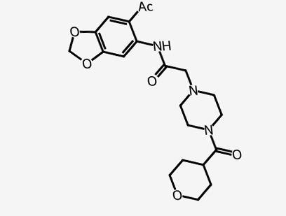 CC(=O)c1cc2c(cc1NC(=O)CN1CCN(C(=O)C3CCOCC3)CC1)OCO2